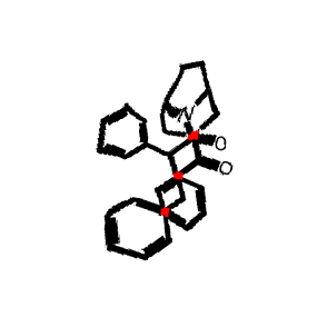 O=C(CCc1ccccc1)N1CC2CCC(C1)N2C(=O)C(c1ccccc1)c1ccccc1